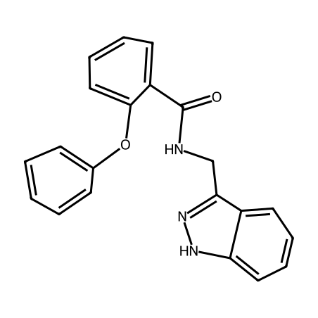 O=C(NCc1n[nH]c2ccccc12)c1ccccc1Oc1ccccc1